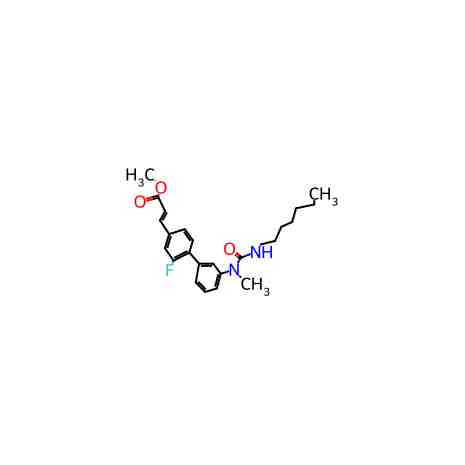 CCCCCCCNC(=O)N(C)c1cccc(-c2ccc(C=CC(=O)OC)cc2F)c1